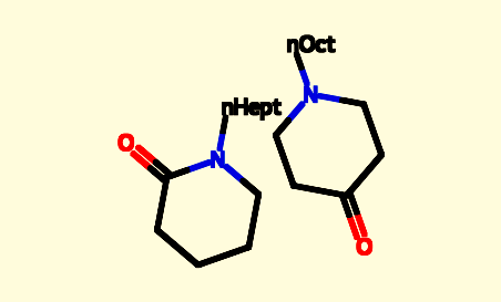 CCCCCCCCN1CCC(=O)CC1.CCCCCCCN1CCCCC1=O